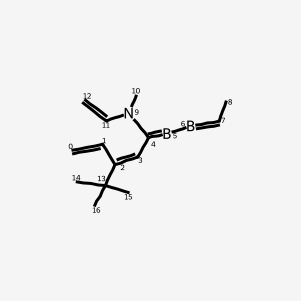 C=C\C(=C/C(=B/B=C/C)N(C)C=C)C(C)(C)C